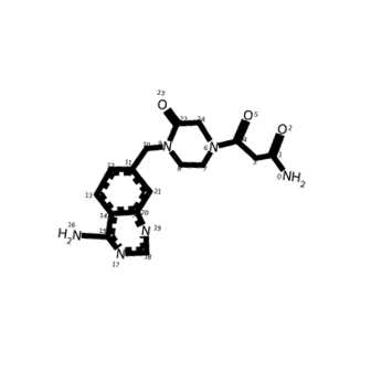 NC(=O)CC(=O)N1CCN(Cc2ccc3c(N)ncnc3c2)C(=O)C1